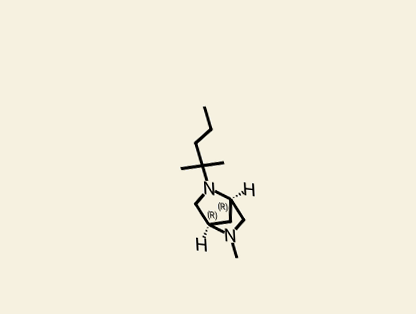 CCCC(C)(C)N1C[C@H]2C[C@@H]1CN2C